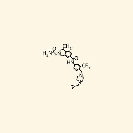 C[C@H]1CN(CC(N)=O)Cc2cc(C(=O)Nc3ccc(CN4CCN(CC5CC5)CC4)c(C(F)(F)F)c3)ccc21